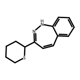 C1=Cc2ccccc2NN=C1C1CCCCS1